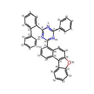 c1ccc(-c2nc(-c3ccccc3-c3ccccc3)nc(-c3cccc4c3ccc3oc5ccccc5c34)n2)cc1